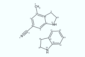 Cc1cc(C#N)cc2c1CCN2.c1ccc2c(c1)CCN2